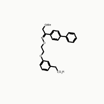 COC/C(=N/OCCOc1cccc(CC(=O)O)c1)c1ccc(-c2ccccc2)cc1